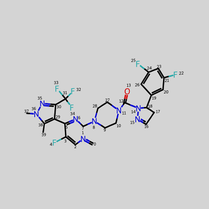 C=N/C=C(F)\C(=N/CN1CCN(C(=O)N2N=CCC2c2cc(F)cc(F)c2)CC1)c1c(C(F)(F)F)nn(C)c1C